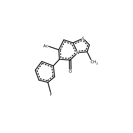 CC(=O)c1cc2scc(C)n2c(=O)c1-c1cccc(F)c1